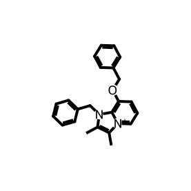 Cc1c(C)[n+]2cccc(OCc3ccccc3)c2n1Cc1ccccc1